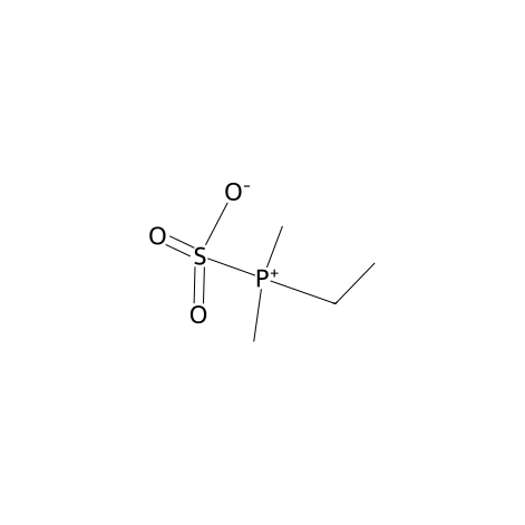 CC[P+](C)(C)S(=O)(=O)[O-]